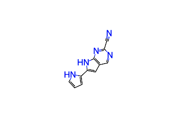 N#Cc1ncc2cc(-c3ccc[nH]3)[nH]c2n1